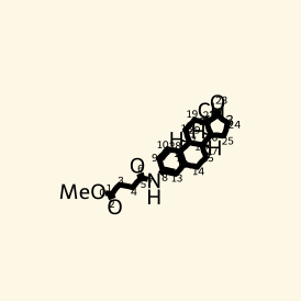 COC(=O)CCC(=O)Nc1ccc2c(c1)CC[C@@H]1[C@@H]2CC[C@]2(C)C(=O)CC[C@@H]12